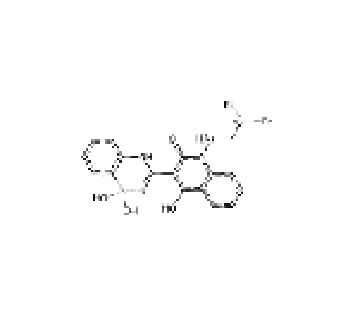 CC[C@@H](C[AsH]n1c(=O)c(C2=NS(O)(O)c3ccccc3N2)c(O)c2ccccc21)C(C)C